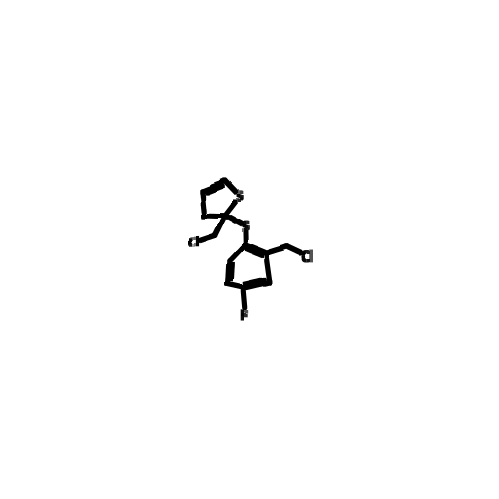 Fc1ccc(SC2(CCl)CC=CS2)c(CCl)c1